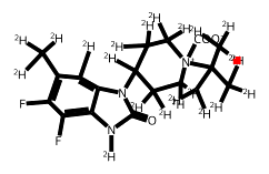 [2H]c1c(C([2H])([2H])[2H])c(F)c(F)c2c1n(C1([2H])C([2H])([2H])C([2H])([2H])[N+](C(=O)[O-])(C(C([2H])[2H])(C([2H])([2H])[2H])C([2H])([2H])[2H])C([2H])([2H])C1([2H])[2H])c(=O)n2[2H]